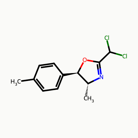 Cc1ccc([C@H]2OC(C(Cl)Cl)=N[C@@H]2C)cc1